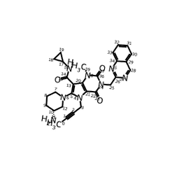 CC#CCn1c(N2CCC[C@@H](N)C2)c(C(=O)NC2CC2)c2c1c(=O)n(Cc1ncc3ccccc3n1)c(=O)n2C